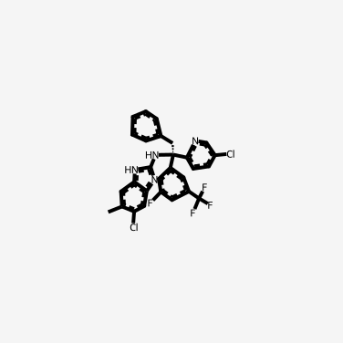 Cc1cc2[nH]c(N[C@](Cc3ccccc3)(c3cc(F)cc(C(F)(F)F)c3)c3ccc(Cl)cn3)nc2cc1Cl